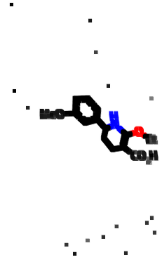 CCOC1=C(C(=O)O)CCC(c2cccc(OC)c2)N1